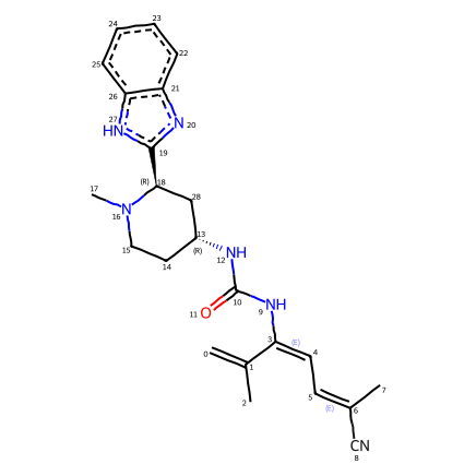 C=C(C)/C(=C\C=C(/C)C#N)NC(=O)N[C@@H]1CCN(C)[C@@H](c2nc3ccccc3[nH]2)C1